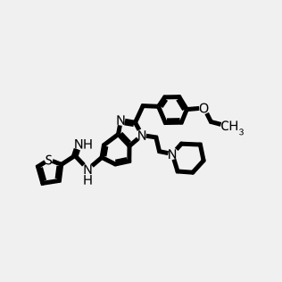 CCOc1ccc(Cc2nc3cc(NC(=N)c4cccs4)ccc3n2CCN2CCCCC2)cc1